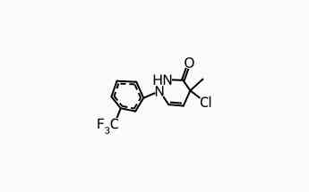 CC1(Cl)C=CN(c2cccc(C(F)(F)F)c2)NC1=O